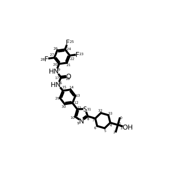 CC(C)(O)C1CCC(c2ncc(-c3ccc(NC(=O)Nc4cc(F)c(F)cc4F)cc3)s2)CC1